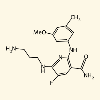 COc1cc(C)cc(Nc2nc(NCCCN)c(F)cc2C(N)=O)c1